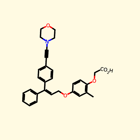 Cc1cc(OC/C=C(/c2ccccc2)c2ccc(C#CN3CCOCC3)cc2)ccc1OCC(=O)O